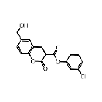 O=C(OC1=CC(Cl)=CCC1)C1Cc2cc(CO)ccc2OC1=O